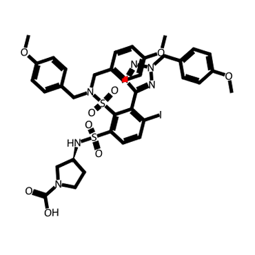 COc1ccc(CN(Cc2ccc(OC)cc2)S(=O)(=O)c2c(S(=O)(=O)N[C@H]3CCN(C(=O)O)C3)ccc(I)c2-c2nnn(Cc3ccc(OC)cc3)n2)cc1